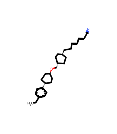 CCc1ccc([C@H]2CC[C@H](OC[C@H]3CC[C@H](CC/C=C/C=C/C#N)CC3)CC2)cc1